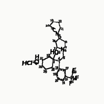 Cl.Cl.OC1(C(CN2CCC(N3CCCCC3)CC2)c2cccc(C(F)(F)F)c2)CCCCC1